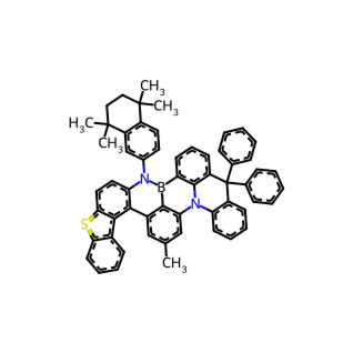 Cc1cc2c3c(c1)N1c4ccccc4C(c4ccccc4)(c4ccccc4)c4cccc(c41)B3N(c1ccc3c(c1)C(C)(C)CCC3(C)C)c1ccc3sc4ccccc4c3c1-2